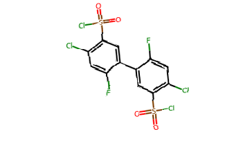 O=S(=O)(Cl)c1cc(-c2cc(S(=O)(=O)Cl)c(Cl)cc2F)c(F)cc1Cl